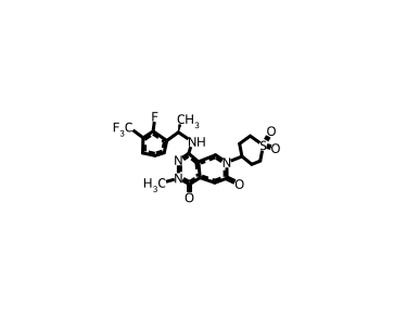 C[C@@H](Nc1nn(C)c(=O)c2cc(=O)n(C3CCS(=O)(=O)CC3)cc12)c1cccc(C(F)(F)F)c1F